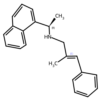 C/C(=C\c1ccccc1)CN[C@H](C)c1cccc2ccccc12